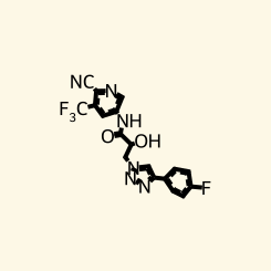 N#Cc1ncc(NC(=O)C(O)Cn2cc(-c3ccc(F)cc3)nn2)cc1C(F)(F)F